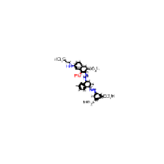 O=C(O)CCNc1ccc2cc(S(=O)(=O)O)c(N=Nc3ccc(N=Nc4cc(C(=O)O)cc(C(=O)O)c4)c4ccccc34)c(O)c2c1